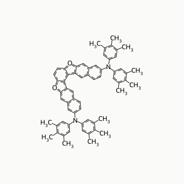 Cc1cc(N(c2cc(C)c(C)c(C)c2)c2ccc3cc4c(cc3c2)oc2ccc3oc5cc6cc(N(c7cc(C)c(C)c(C)c7)c7cc(C)c(C)c(C)c7)ccc6cc5c3c24)cc(C)c1C